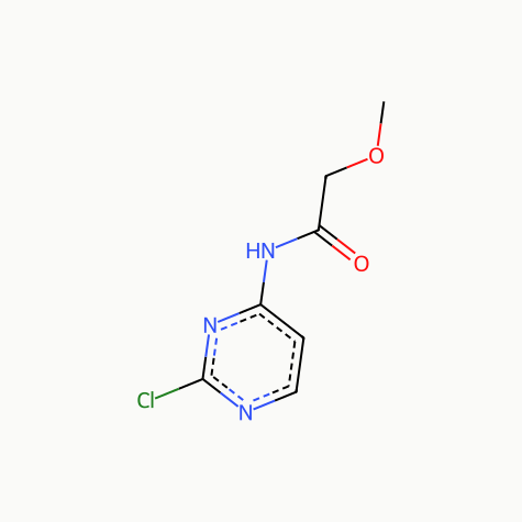 COCC(=O)Nc1ccnc(Cl)n1